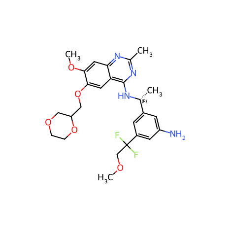 COCC(F)(F)c1cc(N)cc([C@@H](C)Nc2nc(C)nc3cc(OC)c(OCC4COCCO4)cc23)c1